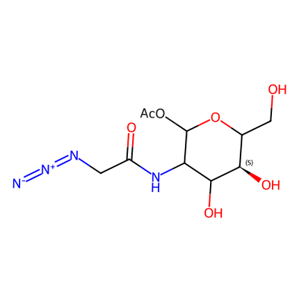 CC(=O)OC1OC(CO)[C@@H](O)C(O)C1NC(=O)CN=[N+]=[N-]